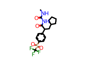 CNC(=O)NC(=O)C(CC1CCCC1)c1ccc(S(=O)(=O)C(F)(F)F)cc1